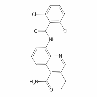 CCc1cnc2c(NC(=O)c3c(Cl)cccc3Cl)cccc2c1C(N)=O